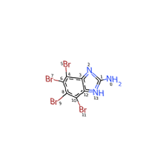 Nc1nc2c(Br)c(Br)c(Br)c(Br)c2[nH]1